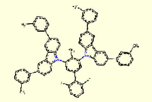 Cc1cccc(-c2ccc3c(c2)c2cc(-c4cccc(C)c4)ccc2n3-c2cc(-c3c(F)cccc3F)cc(-n3c4ccc(-c5cccc(C)c5)cc4c4cc(-c5cccc(C)c5)ccc43)c2C(F)(F)F)c1